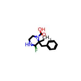 CCC1(Cc2ccccc2)C(F)NCCN1C(=O)O